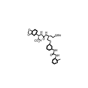 CSCC[C@@H](CSc1cccc(NC(=O)Nc2ccccc2C)c1)NC(=O)N[C@@H](CC(=O)O)c1ccc2c(c1)OCO2